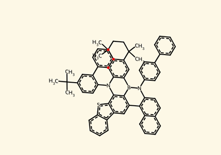 CC(C)(C)c1ccc(N2c3cc4c(cc3B3c5c(cc6c(sc7ccccc76)c52)-c2c(ccc5ccccc25)N3c2ccc(-c3ccccc3)cc2)C(C)(C)CCC4(C)C)c(-c2ccccc2)c1